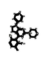 Cc1ccc(F)c(-c2nc(N3CCOCC3)nc3c2CCN3c2ccncc2)c1F